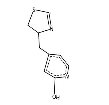 Oc1cc(CC2CS[C]=N2)ccn1